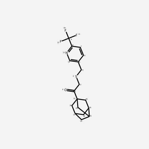 O=C(CSCc1ccc(C(F)(F)F)nc1)C12CC3CC(C1)C(C3)C2